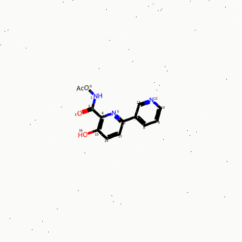 CC(=O)ONC(=O)c1nc(-c2cccnc2)ccc1O